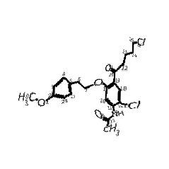 COc1ccc(CCOc2cc(NC(C)=O)c(Cl)cc2C(=O)CCCCCl)cc1